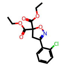 CCOC(=O)C1(C(=O)OCC)CC(c2ccccc2Cl)=NO1